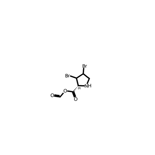 O=COC(=O)[C@H]1NCC(Br)C1Br